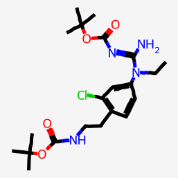 CCN(C(N)=NC(=O)OC(C)(C)C)c1ccc(CCNC(=O)OC(C)(C)C)c(Cl)c1